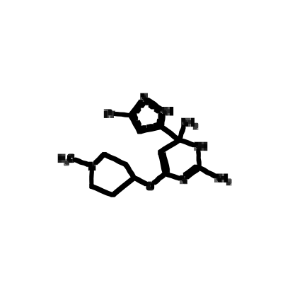 CC(C)c1cc(C2(N)C=C(OC3CCN(C)CC3)N=C(N)N2)[nH]n1